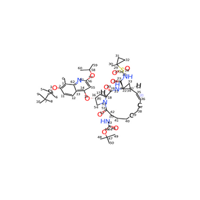 Cc1c(O[Si](C)(C)C(C)(C)C)ccc2c(O[C@@H]3C[C@H]4C(=O)N[C@]5(C(=O)NS(=O)(=O)C6(C)CC6)C[C@H]5/C=C\CCCCC[C@H](NC(=O)OC(C)(C)C)C(=O)N4C3)cc(OC(C)C)nc12